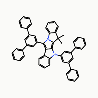 CC1(C)c2ccccc2-n2c(-c3cc(-c4ccccc4)cc(-c4ccccc4)c3)c3c4ccccc4n(-c4cc(-c5ccccc5)cc(-c5ccccc5)c4)c3c21